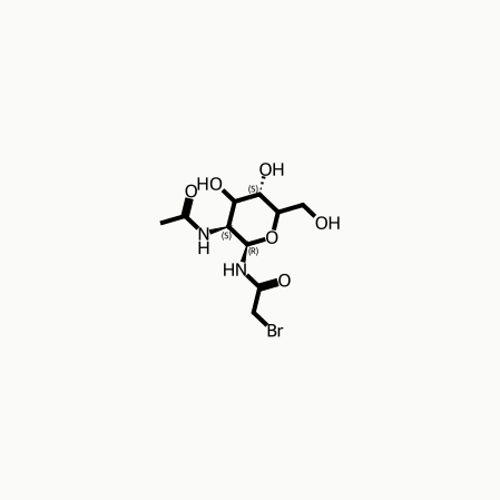 CC(=O)N[C@H]1C(O)[C@H](O)C(CO)O[C@H]1NC(=O)CBr